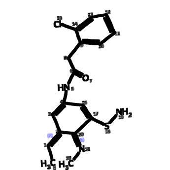 C/C=C1/C=C(NC(=O)Cc2ccccc2Cl)C=C(SN)/C1=N/C